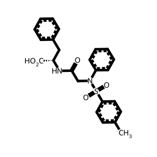 Cc1ccc(S(=O)(=O)N(CC(=O)N[C@@H](Cc2ccccc2)C(=O)O)c2ccccc2)cc1